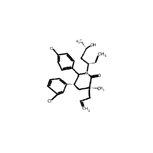 C=CC[C@@]1(C)C[C@H](c2cccc(Cl)c2)C(c2ccc(Cl)cc2)N([C@@H](CC)C[C@H](C)O)C1=O